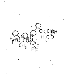 CCC[C@H]1N(C(=O)c2ncccc2C(F)(F)F)CCC[C@@]1(Oc1csc(C(F)(F)F)c1)C(=O)N1CC=C(c2ccccc2OCCC(C)(C)C(=O)O)CC1